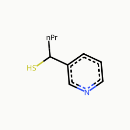 CCCC(S)c1cccnc1